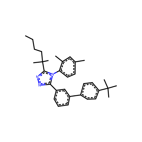 CCCCC(C)(C)c1nnc(-c2cccc(-c3ccc(C(C)(C)C)cc3)c2)n1-c1ccc(C)cc1C